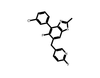 Cc1nc2c(-c3cccc(Cl)c3)c(F)c(Cc3ccc(F)nc3)cc2s1